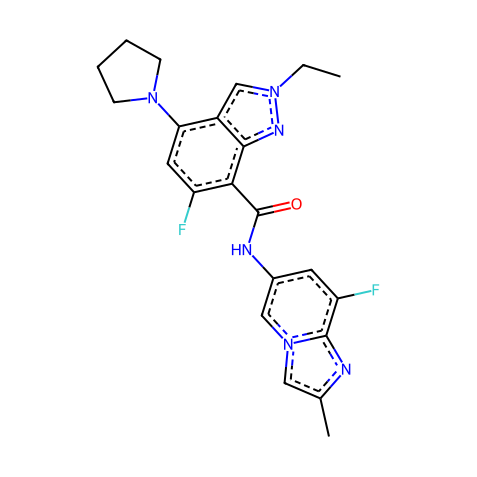 CCn1cc2c(N3CCCC3)cc(F)c(C(=O)Nc3cc(F)c4nc(C)cn4c3)c2n1